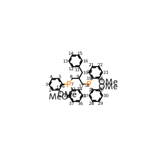 COc1ccccc1P(CC(Cc1ccccc1)CP(c1ccccc1OC)c1ccccc1OC)c1ccccc1OC